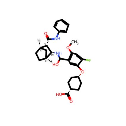 COc1cc(F)c(O[C@H]2CC[C@@H](C(=O)O)CC2)cc1C(O)N[C@@H]1[C@H]2CC[C@H](C2)[C@@H]1C(=O)Nc1ccccc1